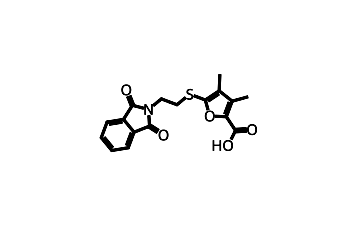 Cc1c(SCCN2C(=O)c3ccccc3C2=O)oc(C(=O)O)c1C